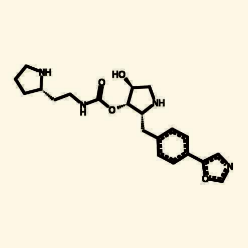 O=C(NCC[C@@H]1CCCN1)O[C@@H]1[C@@H](O)CN[C@@H]1Cc1ccc(-c2cnco2)cc1